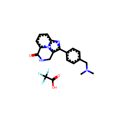 CN(C)Cc1ccc(-c2nc3cccc4n3c2CNC4=O)cc1.O=C(O)C(F)(F)F